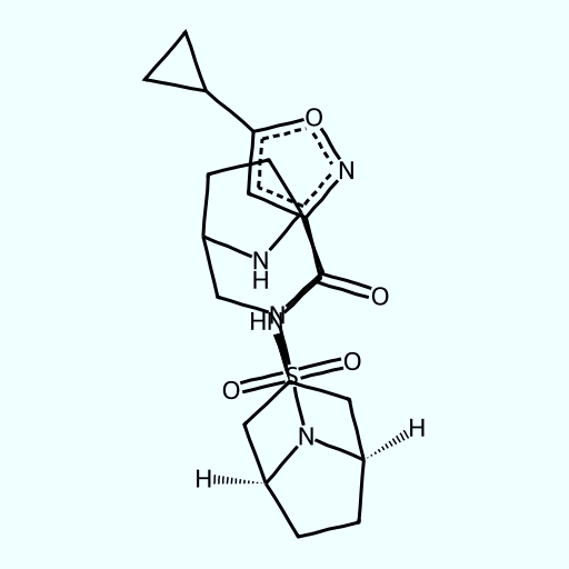 O=C(N[C@H]1C[C@H]2CC[C@@H](C1)N2S(=O)(=O)N1CC2CCC(C1)N2)c1cc(C2CC2)on1